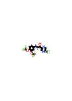 O=C(/C=C/c1ccc(OC(F)F)c(OC(F)F)c1)c1cnc(Cl)cn1